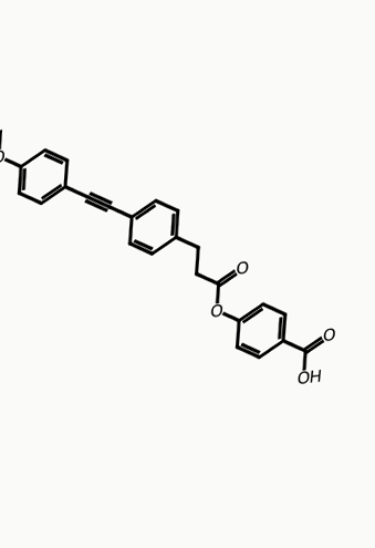 COc1ccc(C#Cc2ccc(CCC(=O)Oc3ccc(C(=O)O)cc3)cc2)cc1